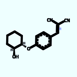 [C-]#[N+]/C(C#N)=C\c1ccc(O[C@H]2CCCC[C@@H]2O)cc1